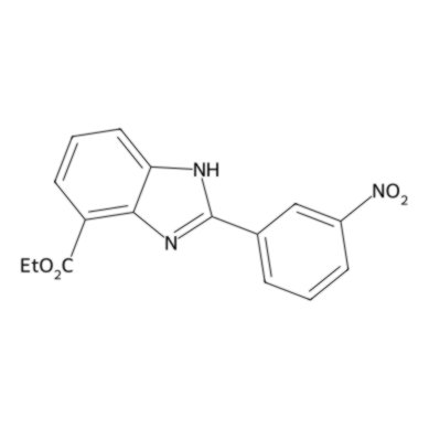 CCOC(=O)c1cccc2[nH]c(-c3cccc([N+](=O)[O-])c3)nc12